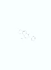 Cn1c2cc(Cl)ccc2c2c(C(=O)O)nn(-c3ccccc3)c(=O)c21